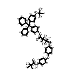 CCC(C)(CC)Oc1ccc(C(c2ccccc2)(c2ccccc2)c2ccc(OC(=O)C(C)(CC)C(CC)(CC)Nc3ccc(Oc4ccc(NC(=O)C(C)(C)CC)cc4)cc3)cc2)cc1